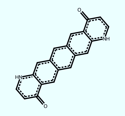 O=c1cc[nH]c2cc3cc4cc5c(=O)cc[nH]c5cc4cc3cc12